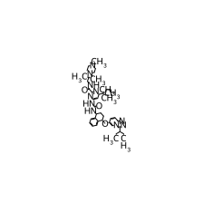 CCC(CC)c1nnc2ccc(O[C@@H]3CC[C@H](NC(=O)Nc4cc(C(C)(C)C)nc(C(=O)NCC(C)(C)N5CCN(C)CC5)n4)c4ccccc43)cn12